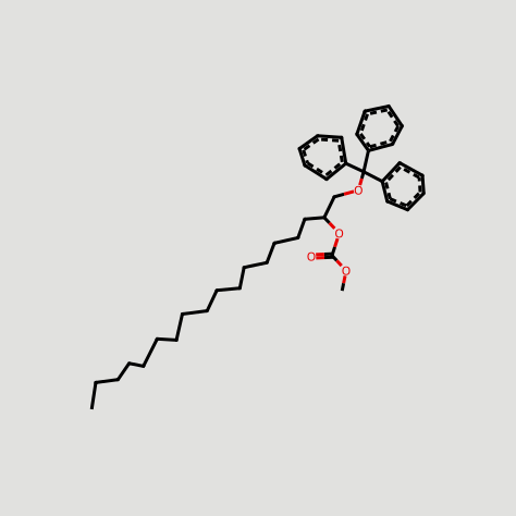 CCCCCCCCCCCCCCCCC(COC(c1ccccc1)(c1ccccc1)c1ccccc1)OC(=O)OC